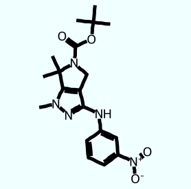 Cn1nc(Nc2cccc([N+](=O)[O-])c2)c2c1C(C)(C)N(C(=O)OC(C)(C)C)C2